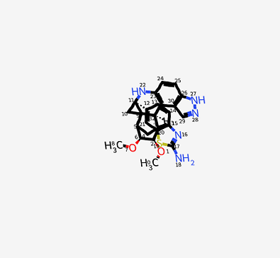 CO[C@@H]1C2CC([C@@H]1OC)C13C[C@@]1(c1ccc4nc(N)sc4c1)Nc1ccc4[nH]ncc4c1[C@@H]23